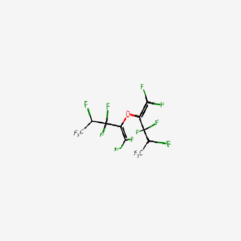 FC(F)=C(OC(=C(F)F)C(F)(F)C(F)C(F)(F)F)C(F)(F)C(F)C(F)(F)F